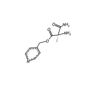 C[C@@](N)(C(N)=O)C(=O)OCc1ccncc1